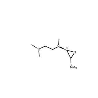 CNC1O[C@@H]1N(C)CCN(C)C